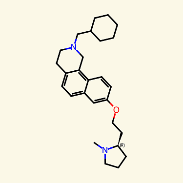 CN1CCC[C@@H]1CCOc1ccc2c3c(ccc2c1)CCN(CC1CCCCC1)C3